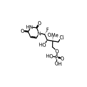 CO[C@](CCl)(COP(=O)(O)O)[C@@H](O)[C@@H](F)n1ccc(=O)[nH]c1=O